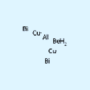 [Al].[BeH2].[Bi].[Bi].[Cu].[Cu]